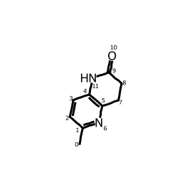 Cc1ccc2c(n1)CCC(=O)N2